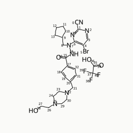 N#Cc1ncc(Br)c(N(CC2CCCC2)NC(=O)c2ccc(CN3CCN(CCO)CC3)cc2)n1.O=C(O)C(F)(F)F